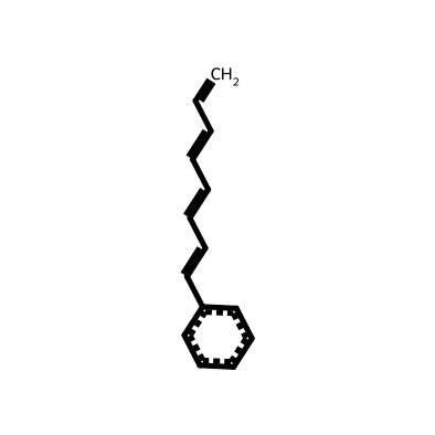 C=CC=CC=CC=Cc1ccccc1